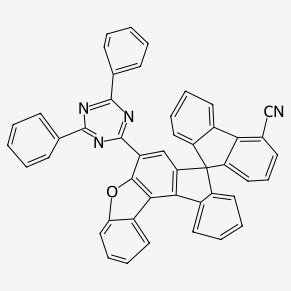 N#Cc1cccc2c1-c1ccccc1C21c2ccccc2-c2c1cc(-c1nc(-c3ccccc3)nc(-c3ccccc3)n1)c1oc3ccccc3c21